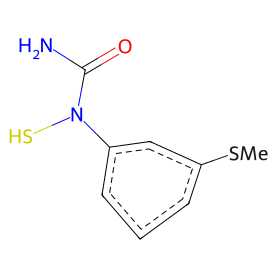 CSc1cccc(N(S)C(N)=O)c1